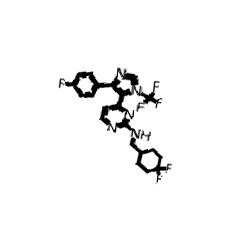 Fc1ccc(-c2ncn(C(F)(F)F)c2-c2ccnc(NCC3CCC(F)(F)CC3)n2)cc1